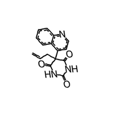 C=CCC1(c2ccnc3ccccc23)C(=O)NC(=O)NC1=O